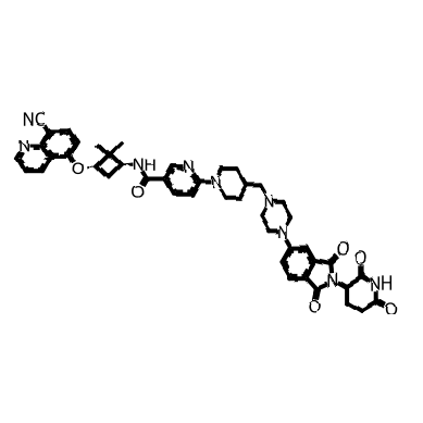 CC1(C)[C@@H](NC(=O)c2ccc(N3CCC(CN4CCN(c5ccc6c(c5)C(=O)N(C5CCC(=O)NC5=O)C6=O)CC4)CC3)nc2)C[C@@H]1Oc1ccc(C#N)c2ncccc12